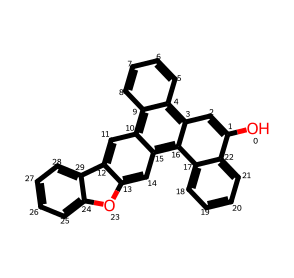 Oc1cc2c3ccccc3c3cc4c(cc3c2c2ccccc12)oc1ccccc14